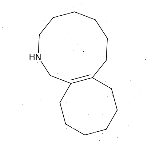 C1CCC/C2=C(/CCCCCC2)CNCC1